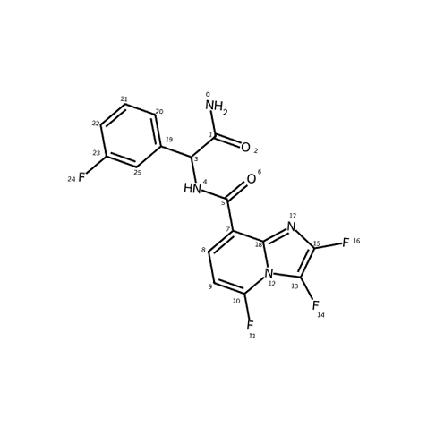 NC(=O)C(NC(=O)c1ccc(F)n2c(F)c(F)nc12)c1cccc(F)c1